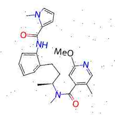 COc1cc(C(=O)N(C)[C@@H](C)CCc2ccccc2NC(=O)c2cccn2C)c(C)cn1